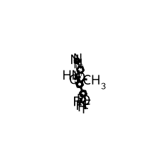 CCc1cc(-c2ccc(OC(C(F)(F)F)C(F)(F)F)cc2)ccc1S(=O)(=O)N[C@H]1CCC[C@@H](n2cnnc2)C1